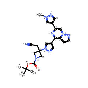 Cn1cc(-c2cn3nccc3c(-c3cnn(C4(CC#N)CN(C(=O)OC(C)(C)C)C4)c3)n2)cn1